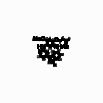 COc1cc(OCCN(C)C)c(NC(C)=O)cc1Nc1nccc(-c2cn(C)c3ccccc23)n1